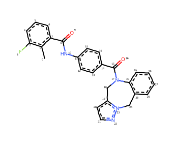 Cc1c(F)cccc1C(=O)Nc1ccc(C(=O)N2Cc3ccnn3Cc3ccccc32)cc1